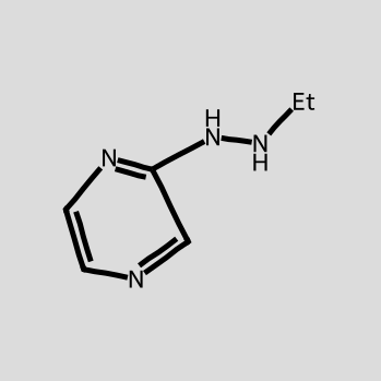 CCNNc1cnccn1